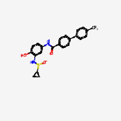 O=C(Nc1ccc(O)c(N[S+]([O-])C2CC2)c1)c1ccc(-c2ccc(C(F)(F)F)cc2)cc1